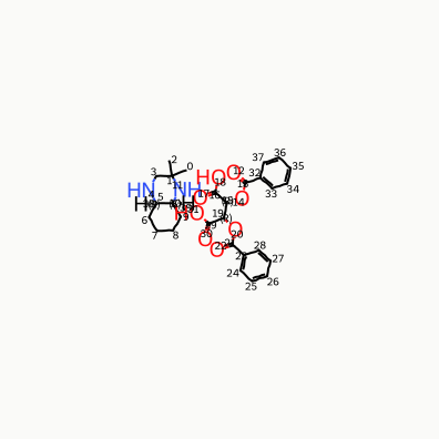 CC1(C)CN[C@@H]2CCCC[C@@H]2N1.O=C(O[C@@H](C(=O)O)[C@@H](OC(=O)c1ccccc1)C(=O)O)c1ccccc1